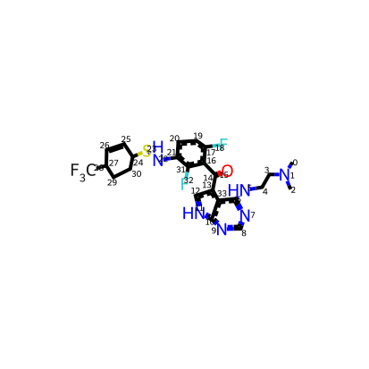 CN(C)CCNc1ncnc2[nH]cc(C(=O)c3c(F)ccc(NSC4C=CC(C(F)(F)F)CC4)c3F)c12